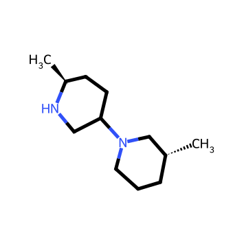 C[C@@H]1CCCN(C2CC[C@H](C)NC2)C1